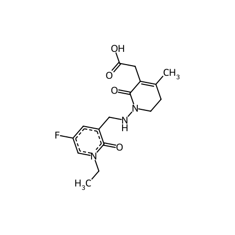 CCn1cc(F)cc(CNN2CCC(C)=C(CC(=O)O)C2=O)c1=O